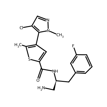 Cc1sc(C(=O)N[C@H](CN)Cc2cccc(F)c2)cc1-c1c(Cl)cnn1C